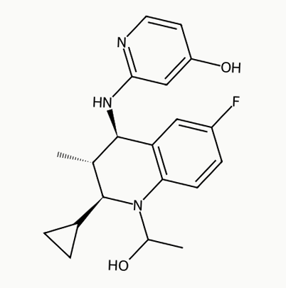 CC(O)N1c2ccc(F)cc2[C@H](Nc2cc(O)ccn2)[C@@H](C)[C@@H]1C1CC1